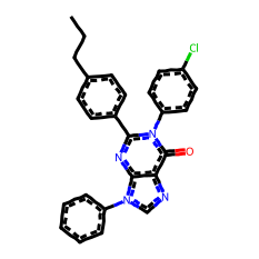 CCCc1ccc(-c2nc3c(ncn3-c3ccccc3)c(=O)n2-c2ccc(Cl)cc2)cc1